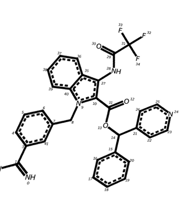 N=C(N)c1cccc(Cn2c(C(=O)OC(c3ccccc3)c3ccncc3)c(NC(=O)C(F)(F)F)c3ccccc32)c1